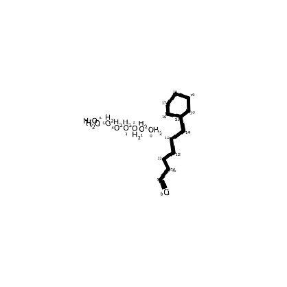 O.O.O.O.O.O.O.O.O=CCCCCCC1CCCCC1